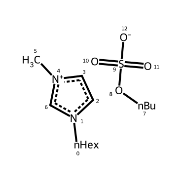 CCCCCCn1cc[n+](C)c1.CCCCOS(=O)(=O)[O-]